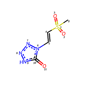 CS(=O)(=O)/C=C/n1nn[nH]c1=O